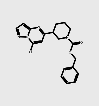 O=C(OCc1ccccc1)N1CCCC(c2cc(Cl)n3nccc3n2)C1